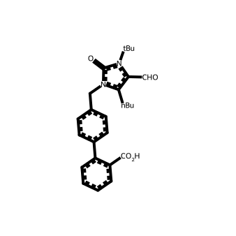 CCCCc1c(C=O)n(C(C)(C)C)c(=O)n1Cc1ccc(-c2ccccc2C(=O)O)cc1